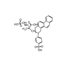 C=C(C)C(=O)O.N.O=S(=O)(O)O.O=S(=O)(O)c1ccc(C2CCc3ccc4c(ccc5ccccc54)c3C2)cc1